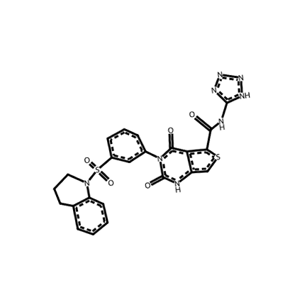 O=C(Nc1nnn[nH]1)c1scc2[nH]c(=O)n(-c3cccc(S(=O)(=O)N4CCCc5ccccc54)c3)c(=O)c12